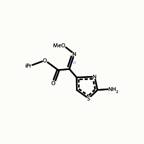 CO/N=C(\C(=O)OC(C)C)c1csc(N)n1